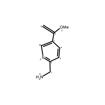 C=C(OC)c1ccc(CN)nc1